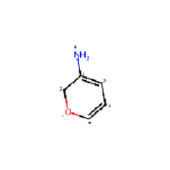 NC1=CC=COC1